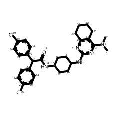 CN(C)c1nc(NC2CCC(NC(=O)C(c3ccc(Cl)cc3)c3ccc(Cl)cc3)CC2)nc2c1CCCC2